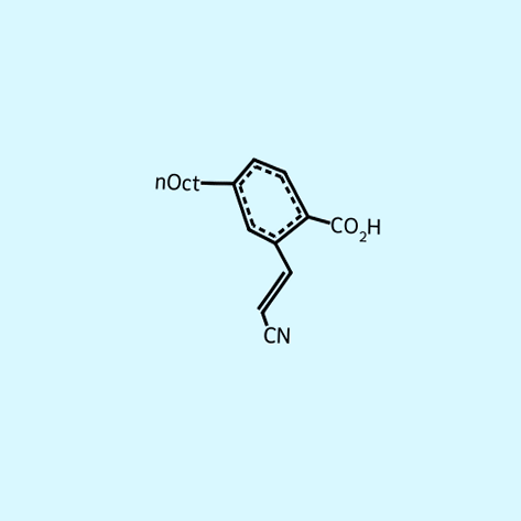 CCCCCCCCc1ccc(C(=O)O)c(/C=C/C#N)c1